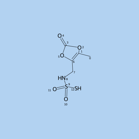 Cc1oc(=O)oc1CNS(=O)(=O)S